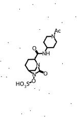 CC(=O)N1CCC(NC(=O)C2CCC3CN2C(=O)N3OS(=O)(=O)O)CC1